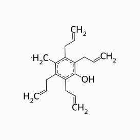 [CH2]c1c(CC=C)c(CC=C)c(O)c(CC=C)c1CC=C